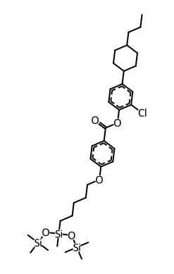 CCCC1CCC(c2ccc(OC(=O)c3ccc(OCCCCC[Si](C)(O[Si](C)(C)C)O[Si](C)(C)C)cc3)c(Cl)c2)CC1